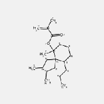 C=C(C)C(=O)OC1(C)CCCC(CCC)C1(CCC)CCC